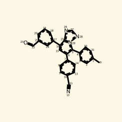 Cc1ccc(-c2c(-c3ccc(C#N)cc3)cc(-c3cccc(C=O)c3)c3ncnn23)cc1